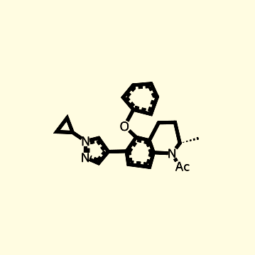 CC(=O)N1c2ccc(-c3cnn(C4CC4)c3)c(Oc3ccccc3)c2CC[C@@H]1C